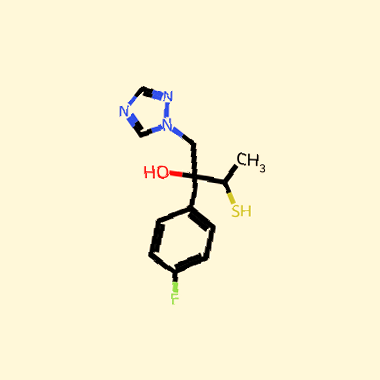 CC(S)C(O)(Cn1cncn1)c1ccc(F)cc1